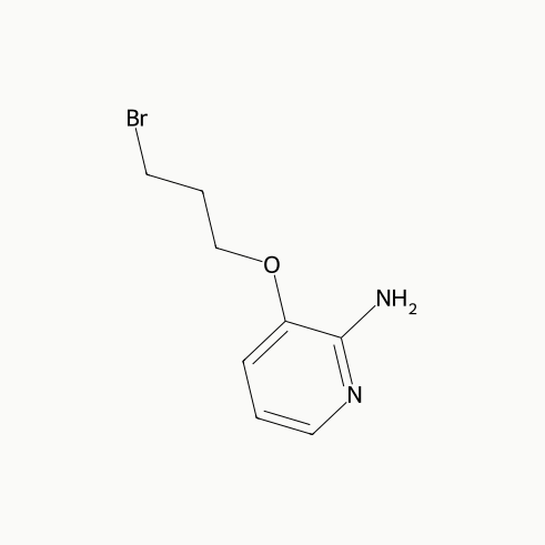 Nc1ncccc1OCCCBr